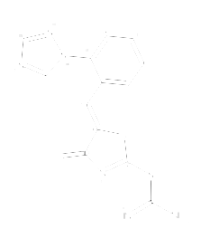 N=C(N)NC1=NC(=O)/C(=C/c2ccccc2-n2cncn2)S1